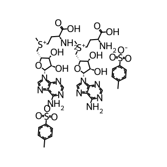 C[S+](CC[C@H](N)C(=O)O)C[C@H]1O[C@@H](n2cnc3c(N)ncnc32)[C@H](O)[C@@H]1O.C[S+](CC[C@H](N)C(=O)O)C[C@H]1O[C@@H](n2cnc3c(N)ncnc32)[C@H](O)[C@@H]1O.Cc1ccc(S(=O)(=O)[O-])cc1.Cc1ccc(S(=O)(=O)[O-])cc1